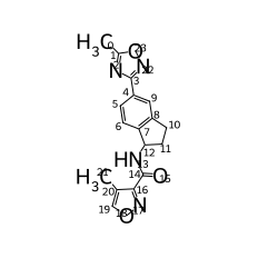 Cc1nc(-c2ccc3c(c2)CCC3NC(=O)c2nocc2C)no1